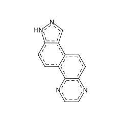 c1cnc2c(ccc3c4cn[nH]c4ccc32)n1